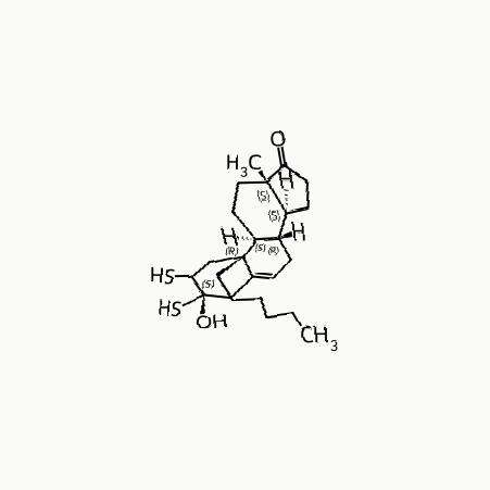 CCCCCC[C@]12CC(S)[C@@](O)(S)CC1=CC[C@@H]1[C@@H]2CC[C@]2(C)C(=O)CC[C@@H]12